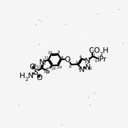 CC(C)C(C(=O)O)n1cc(COc2ccc3nc(S(N)(=O)=O)sc3c2)nn1